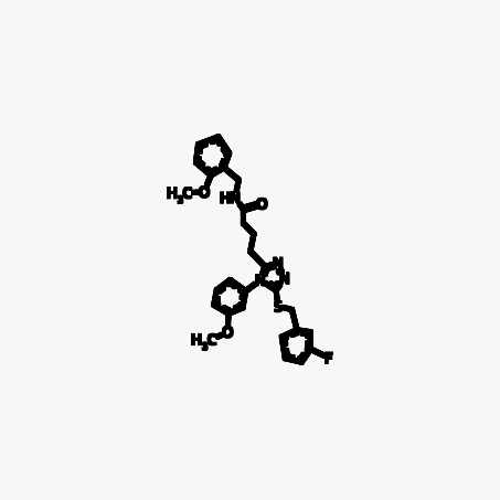 COc1cccc(-n2c(CCCC(=O)NCc3ccccc3OC)nnc2SCc2cccc(F)c2)c1